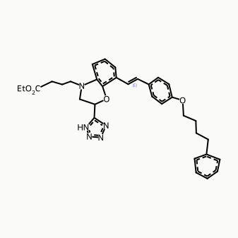 CCOC(=O)CCCN1CC(c2nnn[nH]2)Oc2c(/C=C/c3ccc(OCCCCc4ccccc4)cc3)cccc21